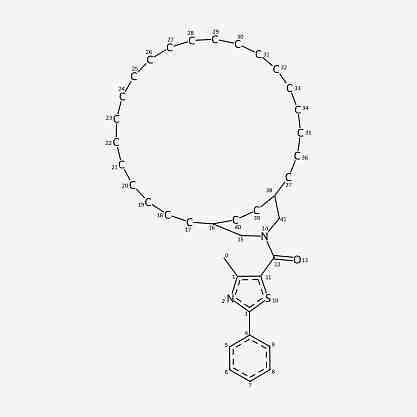 Cc1nc(-c2ccccc2)sc1C(=O)N1CC2CCCCCCCCCCCCCCCCCCCCCC(CC2)C1